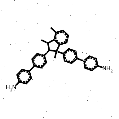 Cc1cccc2c1C(C)C(c1ccc(-c3ccc(N)cc3)cc1)C2(C)c1ccc(-c2ccc(N)cc2)cc1